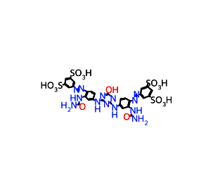 NC(=O)Nc1cc(Nc2nc(O)nc(Nc3ccc(/N=N/c4cc(S(=O)(=O)O)cc(S(=O)(=O)O)c4)c(NC(N)=O)c3)n2)ccc1/N=N/c1cc(S(=O)(=O)O)cc(S(=O)(=O)O)c1